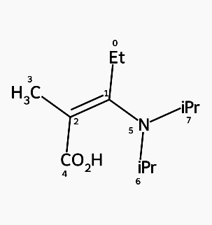 CCC(=C(C)C(=O)O)N(C(C)C)C(C)C